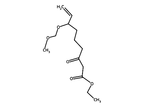 C=CC(CCCC(=O)CC(=O)OCC)OCOC